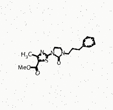 COC(=O)c1sc(N2CCN(CCCc3ccccc3)C2=O)nc1C